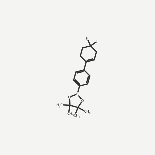 CC1(C)OB(c2ccc(C3=CCC(F)(F)CC3)cc2)OC1(C)C